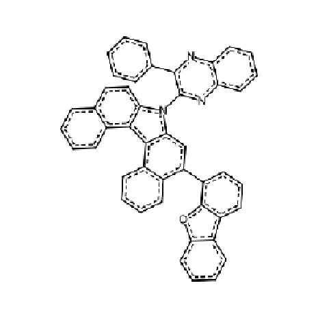 c1ccc(-c2nc3ccccc3nc2-n2c3ccc4ccccc4c3c3c4ccccc4c(-c4cccc5c4oc4ccccc45)cc32)cc1